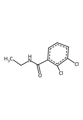 CCNC(=O)c1cccc(Cl)c1Cl